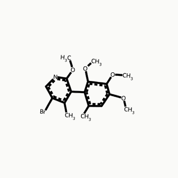 COc1cc(C)c(-c2c(OC)ncc(Br)c2C)c(OC)c1OC